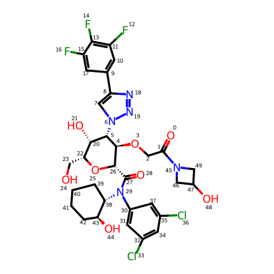 O=C(CO[C@@H]1[C@@H](n2cc(-c3cc(F)c(F)c(F)c3)nn2)[C@@H](O)[C@@H](CO)O[C@H]1C(=O)N(c1cc(Cl)cc(Cl)c1)[C@H]1CCCC[C@@H]1O)N1CC(O)C1